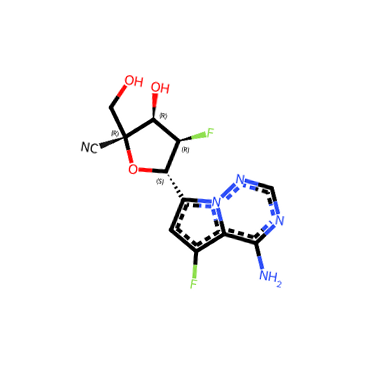 N#C[C@]1(CO)O[C@@H](c2cc(F)c3c(N)ncnn23)[C@H](F)[C@@H]1O